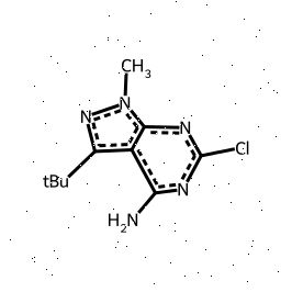 Cn1nc(C(C)(C)C)c2c(N)nc(Cl)nc21